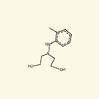 Cc1ccccc1NN(CCO)CCO